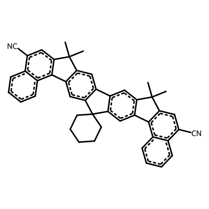 CC1(C)c2cc3c(cc2-c2c1cc(C#N)c1ccccc21)C1(CCCCC1)c1cc2c(cc1-3)C(C)(C)c1cc(C#N)c3ccccc3c1-2